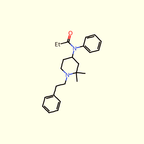 CCC(=O)N(c1ccccc1)C1CCN(CCc2ccccc2)C(C)(C)C1